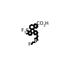 Cc1cccc(C2=C(c3ccc(C=C4CN(CCCF)C4)cc3)c3ccc(C(=O)O)cc3CCC2)c1C(F)(F)F